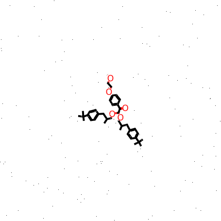 COCCOc1ccc(C(=O)C(OCC(C)Cc2ccc(C(C)(C)C)cc2)OCC(C)Cc2ccc(C(C)(C)C)cc2)cc1